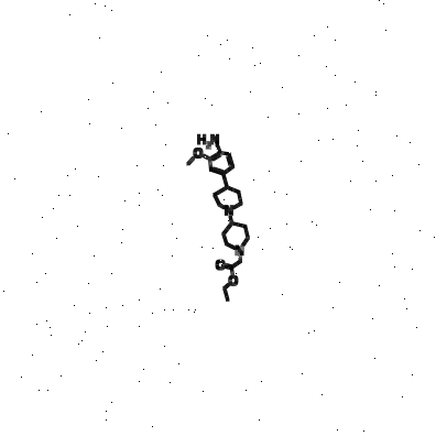 CCOC(=O)CN1CCC(N2CCC(c3ccc(N)c(OC)c3)CC2)CC1